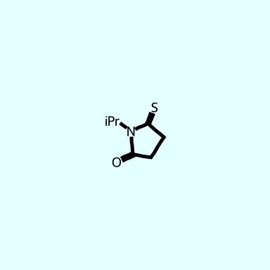 CC(C)N1C(=O)CCC1=S